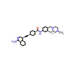 CN1CCN(Cc2ccc(NC(=O)c3ccc(C#Cc4cnc(N)c5ccccc45)cc3)cc2C(F)(F)F)CC1